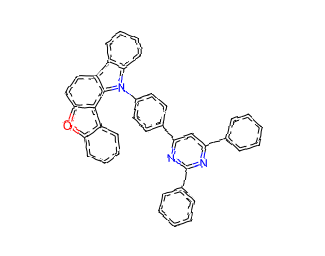 c1ccc(-c2cc(-c3ccc(-n4c5ccccc5c5ccc6oc7ccccc7c6c54)cc3)nc(-c3ccccc3)n2)cc1